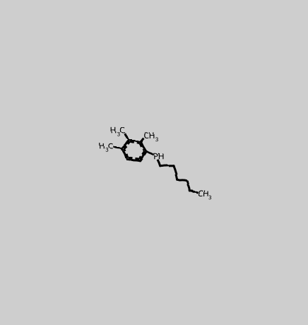 CCCCCCPc1ccc(C)c(C)c1C